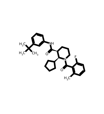 Cc1cccc(F)c1C(=O)N1CCC[C@H](C(=O)Nc2cccc(C(C)(C)C)c2)[C@@H]1C1CCCC1